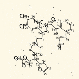 CN(C[C@@H](CCN1CCN([C@@H](c2ccco2)[C@H]2COC(=O)O2)CC1)c1ccc(Cl)c(Cl)c1)C(=O)c1cc(C#N)cc2ccccc12